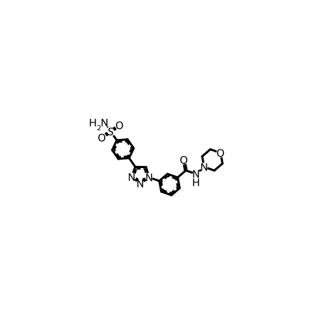 NS(=O)(=O)c1ccc(-c2cn(-c3cccc(C(=O)NN4CCOCC4)c3)nn2)cc1